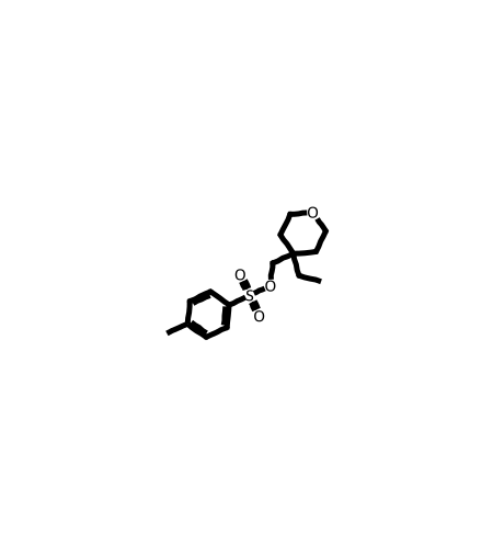 CCC1(COS(=O)(=O)c2ccc(C)cc2)CCOCC1